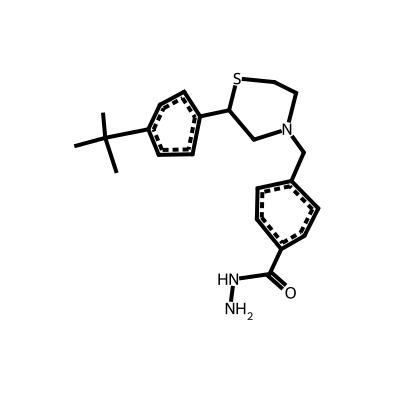 CC(C)(C)c1ccc(C2CN(Cc3ccc(C(=O)NN)cc3)CCS2)cc1